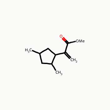 C=C(C(=O)OC)C1CC(C)CC1C